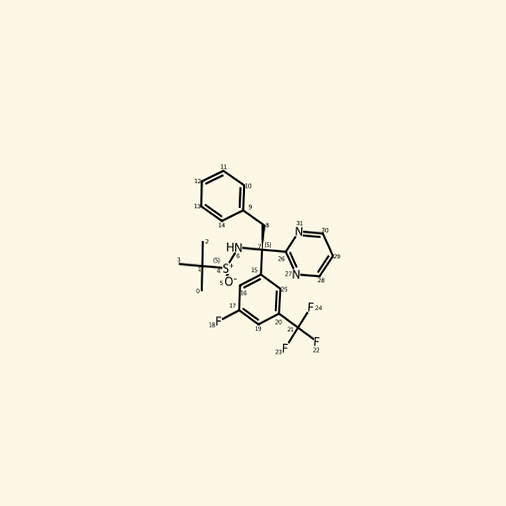 CC(C)(C)[S@@+]([O-])N[C@@](Cc1ccccc1)(c1cc(F)cc(C(F)(F)F)c1)c1ncccn1